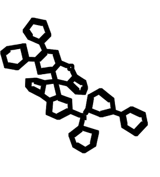 c1ccc(-c2cccc(N(c3ccccc3)c3ccc4c(c3)C3(c5ccccc5Oc5cc(-c6ccccc6)c(-c6ccccc6)cc53)c3ccccc3-4)c2)cc1